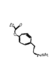 CCC(=O)Oc1ccc(CCNC)cc1